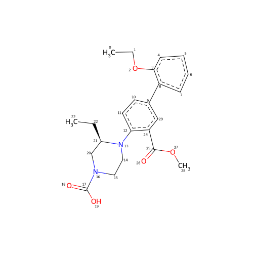 CCOc1ccccc1-c1ccc(N2CCN(C(=O)O)C[C@H]2CC)c(C(=O)OC)c1